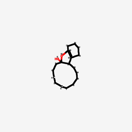 OC12CCCCCCCCCCC1C1=C(CCCC1)O2